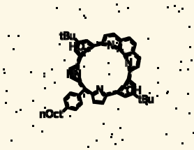 CCCCCCCCc1ccc(-c2c3nc(c4cc(C(C)(C)C)cc(c4O)c4ccc5ccc6ccc(nc6c5n4)c4cc(C(C)(C)C)cc(c4O)c4ccc2[nH]4)C=C3)cc1